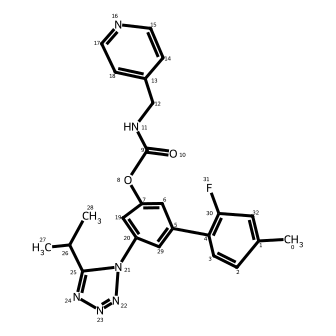 Cc1ccc(-c2cc(OC(=O)NCc3ccncc3)cc(-n3nnnc3C(C)C)c2)c(F)c1